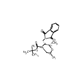 C[C@@H]1O[C@@H](C)CN(C(=O)OC(C)(C)C)[C@@H]1CN1C(=O)c2ccccc2C1=O